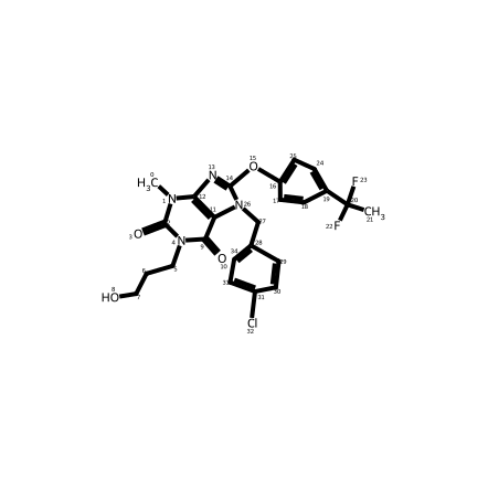 Cn1c(=O)n(CCCO)c(=O)c2c1nc(Oc1ccc(C(C)(F)F)cc1)n2Cc1ccc(Cl)cc1